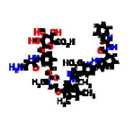 Cc1c(-c2ccc(-c3cc4cccc(C(=O)Nc5nc6ccccc6s5)c4[nH]3)nc2C(=O)O)cnn1CC12CC3(C)CC(C)(C1)CC(OCCN(C)C(=O)OCc1ccc(O[C@@H]4O[C@H](C(=O)O)[C@@H](O)[C@H](O)[C@H]4O)c(NC(=O)CCN)c1)(C3)C2